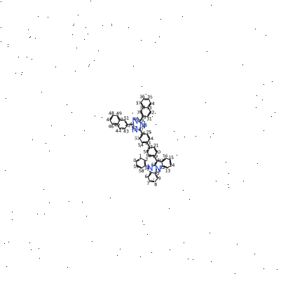 c1ccc(-n2c3ccccc3n3c4ccccc4c(-c4ccc(-c5ccc(-c6nc(-c7ccc8ccccc8c7)nc(-c7ccc8ccccc8c7)n6)cc5)cc4)c23)cc1